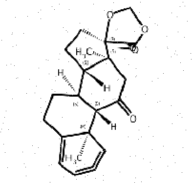 C[C@]12C=C=CC=C1CC[C@@H]1[C@@H]2C(=O)C[C@@]2(C)[C@H]1CC[C@@]21OCOC12COCO2